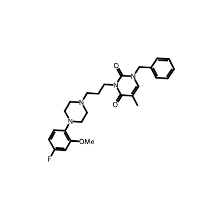 COc1cc(F)ccc1N1CCN(CCCn2c(=O)c(C)cn(Cc3ccccc3)c2=O)CC1